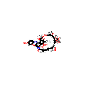 CO[C@H]1/C=C/O[C@@]2(C)Oc3c(C)c(O)c4c(c3C2=O)C2=Nc3ccc(O)cc3OC2=C(NC(=O)/C(C)=C\C=C\[C@H](C)[C@H](O)C[C@@H](O)[C@@H](C)[C@H](OC(C)=O)[C@@H]1C)C4O